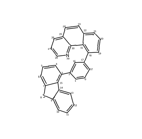 c1cc(-c2cccc3sc4ccccc4c23)cc(-c2cccc3ccc4cccnc4c23)c1